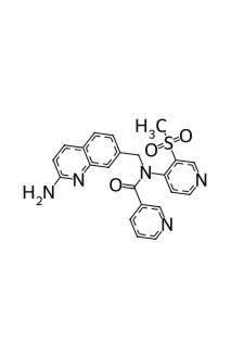 CS(=O)(=O)c1cnccc1N(Cc1ccc2ccc(N)nc2c1)C(=O)c1cccnc1